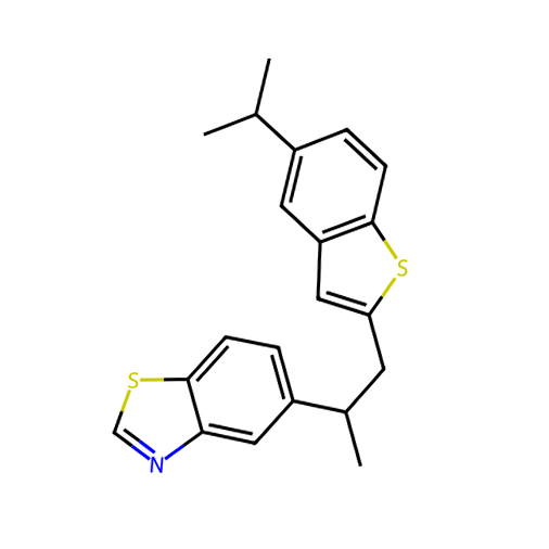 CC(C)c1ccc2sc(CC(C)c3ccc4scnc4c3)cc2c1